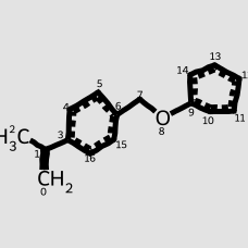 C=C(C)c1ccc(COc2ccccc2)cc1